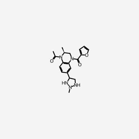 CC(=O)N1c2ccc(C3CNN(C)N3)cc2N(C(=O)c2ccco2)C[C@@H]1C